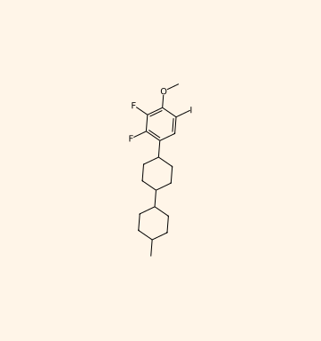 COc1c(I)cc(C2CCC(C3CCC(C)CC3)CC2)c(F)c1F